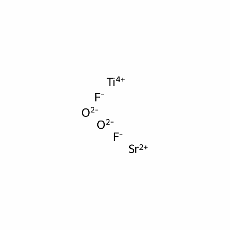 [F-].[F-].[O-2].[O-2].[Sr+2].[Ti+4]